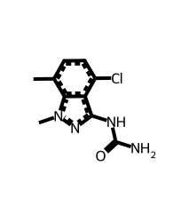 Cc1ccc(Cl)c2c(NC(N)=O)nn(C)c12